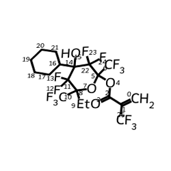 C=C(C(=O)OC1(C(F)(F)F)OC(CC)(C(F)(F)F)C(F)(F)C(O)(C2CCCCC2)C1(F)F)C(F)(F)F